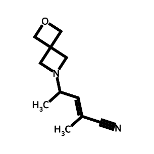 C/C(C#N)=C\C(C)N1CC2(COC2)C1